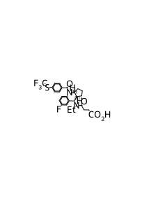 CCN(C(=O)CCC(=O)O)C1c2cc(F)ccc2N(C(=O)c2ccc(SC(F)(F)F)cc2)[C@@H]2CCC[C@@H]12